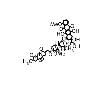 COc1cccc2c1C(=O)c1c(O)c3c(c(O)c1C2=O)C[C@@](O)(C(=O)CO)C[C@@H]3O[C@H]1C[C@H]2[C@H](O[C@@H]3C(OC)N(C(=O)CC4CC(=O)N(CN5C(=O)CC(C)C5=O)C4=O)CCN32)[C@H](C)O1